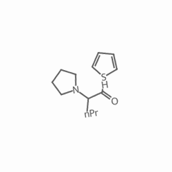 CCCC(C(=O)[SH]1C=CC=C1)N1CCCC1